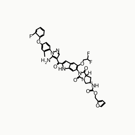 Cc1cc(Oc2ccccc2F)ccc1-n1ncc(C(=O)c2cc3cc(OCC(F)F)c(N4C(=O)[C@@H]5C[C@H](NC(=O)OCc6ccco6)CN5C4=O)cc3[nH]2)c1N